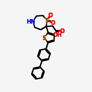 O=C(O)CC1(c2ccc(-c3ccc(-c4ccccc4)cc3)s2)CCNCCS1(=O)=O